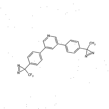 CC1(c2ccc(-c3cncc(-c4ccc(C5(C(F)(F)F)N=N5)cc4)c3)cc2)N=N1